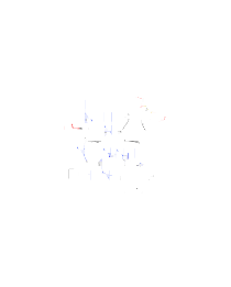 CCc1nc(C(N)=O)c(Nc2cccc(S(C)(=O)=O)c2)nc1N[C@@H]1CCCC[C@@H]1N